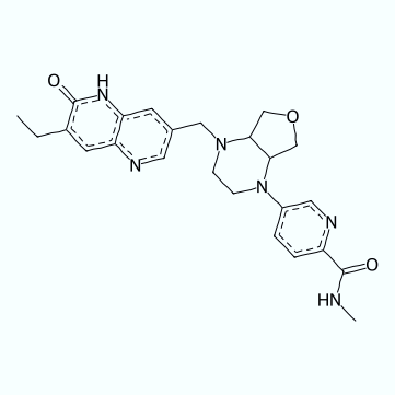 CCc1cc2ncc(CN3CCN(c4ccc(C(=O)NC)nc4)C4COCC43)cc2[nH]c1=O